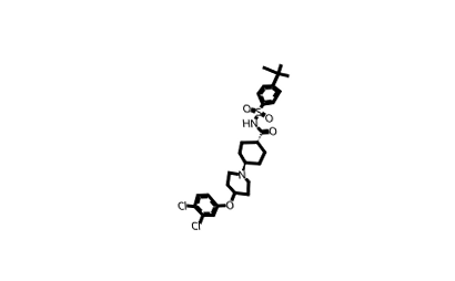 CC(C)(C)c1ccc(S(=O)(=O)NC(=O)[C@H]2CC[C@H](N3CCC(Oc4ccc(Cl)c(Cl)c4)CC3)CC2)cc1